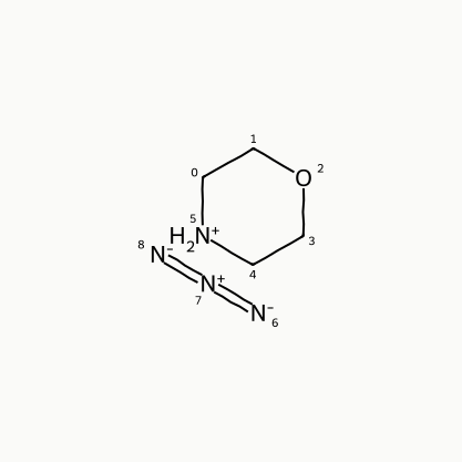 C1COCC[NH2+]1.[N-]=[N+]=[N-]